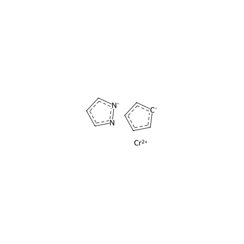 [Cr+2].c1cc[cH-]c1.c1cn[n-]c1